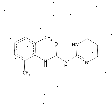 O=C(NC1=NCCCN1)Nc1c(C(F)(F)F)cccc1C(F)(F)F